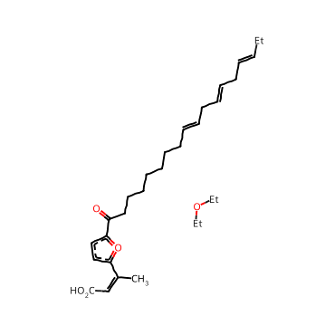 CC/C=C/C/C=C/C/C=C/CCCCCCCC(=O)c1ccc(/C(C)=C\C(=O)O)o1.CCOCC